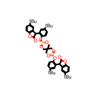 CC(C)(C)c1ccc2c(c1)C(c1cc(C(C)(C)C)ccc1OP1OCC3(CO1)COP(Oc1ccc(C(C)(C)C)cc1C1C(=O)Oc4ccc(C(C)(C)C)cc41)OC3)C(=O)O2